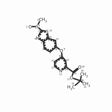 C[S+]([O-])c1nc2ccc(Oc3ccnc(C(=O)OC(C)(C)C)c3)cc2s1